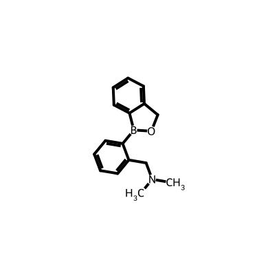 CN(C)Cc1ccccc1B1OCc2ccccc21